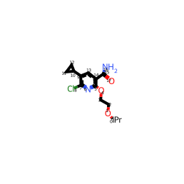 CC(C)OCCOc1nc(Cl)c(C2CC2)cc1C(N)=O